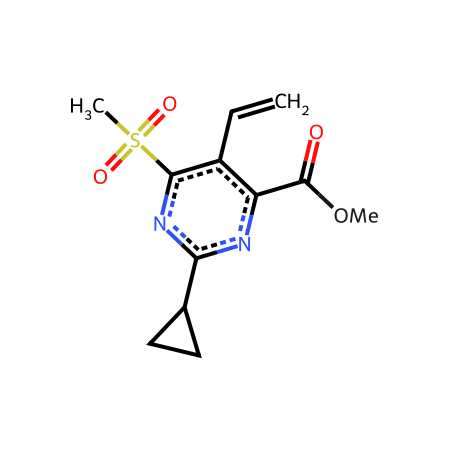 C=Cc1c(C(=O)OC)nc(C2CC2)nc1S(C)(=O)=O